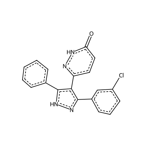 O=c1ccc(-c2c(-c3cccc(Cl)c3)n[nH]c2-c2ccccc2)n[nH]1